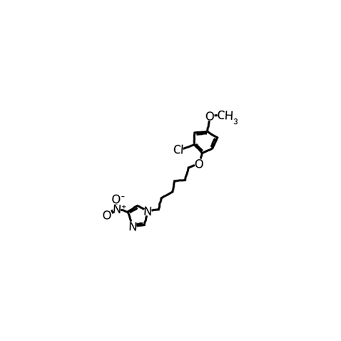 COc1ccc(OCCCCCCn2cnc([N+](=O)[O-])c2)c(Cl)c1